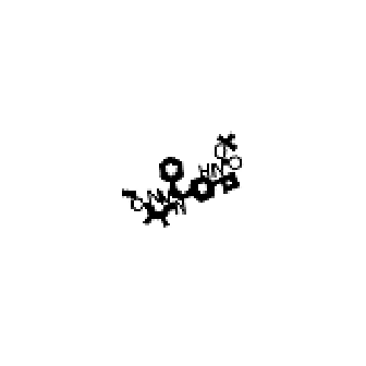 CCOc1nn2c(-c3ccccc3)c(-c3ccc(C4(NC(=O)OC(C)(C)C)CCC4)cc3)nc2c(C)c1C